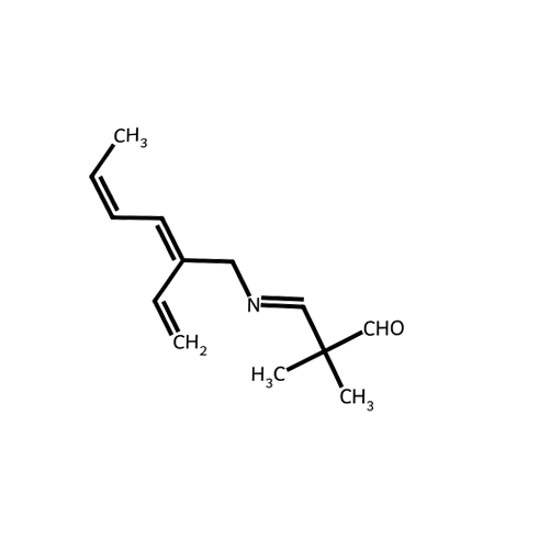 C=C/C(=C\C=C/C)C/N=C/C(C)(C)C=O